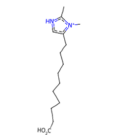 Cc1[nH]cc(CCCCCCCCCC(=O)O)[n+]1C